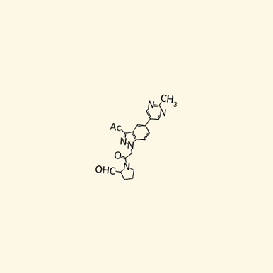 CC(=O)c1nn(CC(=O)N2CCCC2C=O)c2ccc(-c3cnc(C)nc3)cc12